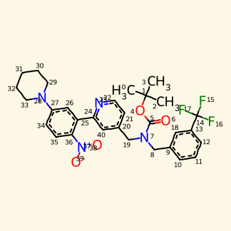 CC(C)(C)OC(=O)N(Cc1cccc(C(F)(F)F)c1)Cc1ccnc(-c2cc(N3CCCCC3)ccc2[N+](=O)[O-])c1